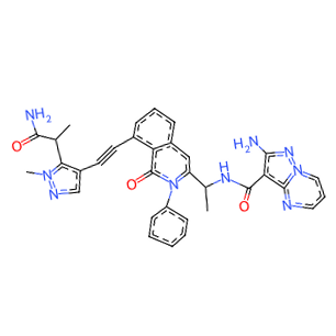 CC(NC(=O)c1c(N)nn2cccnc12)c1cc2cccc(C#Cc3cnn(C)c3C(C)C(N)=O)c2c(=O)n1-c1ccccc1